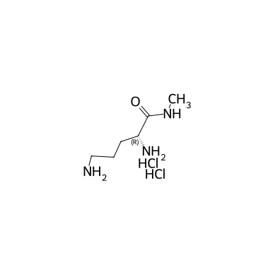 CNC(=O)[C@H](N)CCCN.Cl.Cl